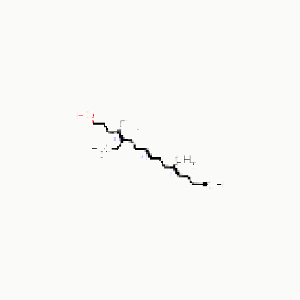 C#CCC/C=C(\C)CC/C=C/CC/C(CC)=C(\C)CCCO